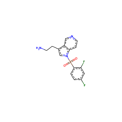 NCCc1cn(S(=O)(=O)c2ccc(F)cc2F)c2ccncc12